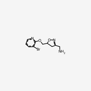 NCC1=NOC(COc2ncccc2Br)C1